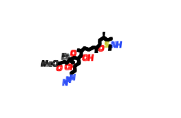 CCC(C)(C(=O)C(CCCCN=[N+]=[N-])C(O)C(C)CCCC1(C)OC1C[C@@H](C)C(C)SC(C)=N)[C@@H](O)CC(=O)OC